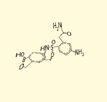 NC(=O)Cc1cc(N)ccc1S(=O)(=O)Nc1cc2c(cc1F)COB2O